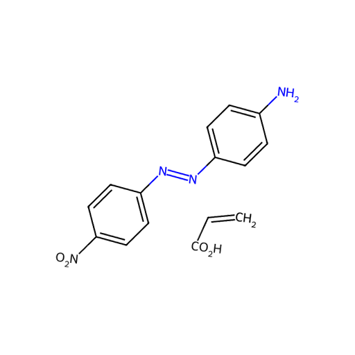 C=CC(=O)O.Nc1ccc(/N=N/c2ccc([N+](=O)[O-])cc2)cc1